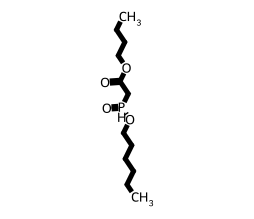 CCCCCCO[PH](=O)CC(=O)OCCCC